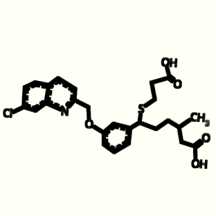 CC(CCC(SCCC(=O)O)c1cccc(OCc2ccc3ccc(Cl)cc3n2)c1)CC(=O)O